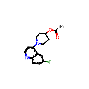 CCCC(=O)OC1CCN(c2ccnc3ccc(F)cc23)CC1